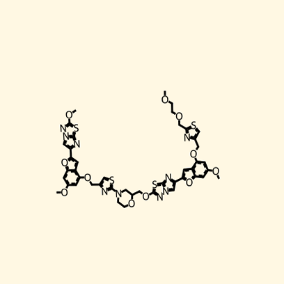 COCCOCc1nc(COc2cc(OC)cc3oc(-c4cn5nc(OCC6CN(c7nc(COc8cc(OC)cc9oc(-c%10cn%11nc(OC)sc%11n%10)cc89)cs7)CCO6)sc5n4)cc23)cs1